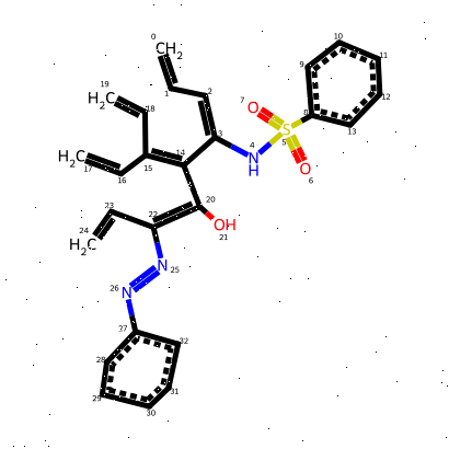 C=C/C=C(/NS(=O)(=O)c1ccccc1)C(=C(C=C)C=C)/C(O)=C(C=C)/N=N/c1ccccc1